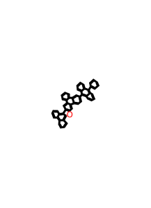 c1ccc(-c2c3ccccc3c(-c3ccc4c(c3)c3ccccc3c3cc5c(cc43)oc3c4ccccc4c4ccccc4c53)c3ccccc23)cc1